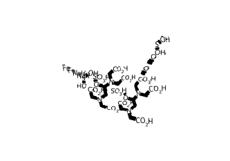 C=O.C=O.O=C(O)CN(CC(=O)O)CC(OS(=O)(=O)O)N(CC(=O)O)CC(=O)O.O=C(O)CN(CC(=O)O)CC(OS(=O)(=O)O)N(CC(=O)O)CC(=O)O.OSO.OSO.[Fe].[Fe].[NaH].[NaH]